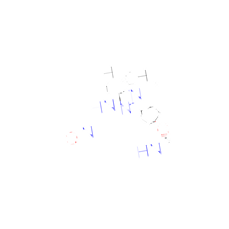 Cc1nc(-c2ccc(O[C@@H]3CCNC3)cc2)nc(NCCCN2CCOCC2)c1C